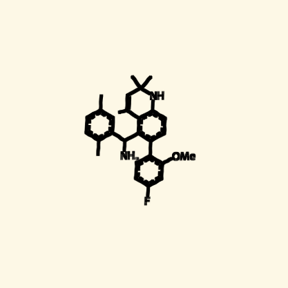 COc1cc(F)ccc1-c1ccc2c(c1C(N)c1cc(C)ccc1C)C(C)=CC(C)(C)N2